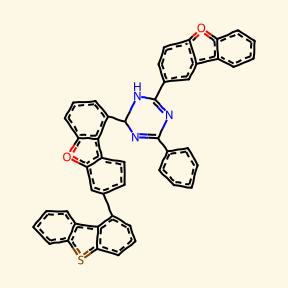 c1ccc(C2=NC(c3cccc4oc5cc(-c6cccc7sc8ccccc8c67)ccc5c34)NC(c3ccc4oc5ccccc5c4c3)=N2)cc1